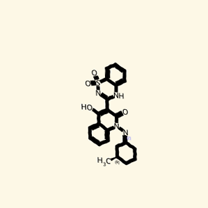 C[C@@H]1CCC/C(=N/n2c(=O)c(C3=NS(=O)(=O)c4ccccc4N3)c(O)c3ccccc32)C1